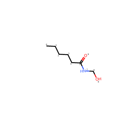 CCCCCC(=O)NCO